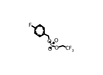 O=S(=O)(OCc1ccc(F)cc1)OCC(F)(F)F